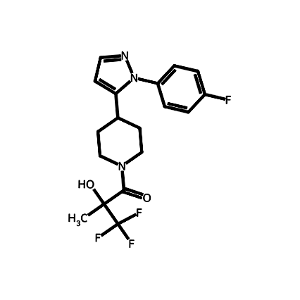 CC(O)(C(=O)N1CCC(c2ccnn2-c2ccc(F)cc2)CC1)C(F)(F)F